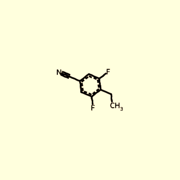 CCc1c(F)cc(C#N)cc1F